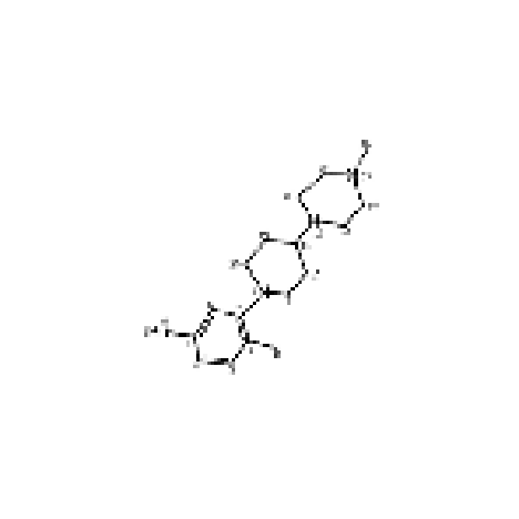 Cc1ccc(C(C)(C)C)cc1N1CCC(N2CCN(C)CC2)CC1